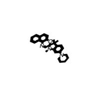 CN1c2cc(N3CCCCC3)ccc2C(C)(C)C12C=Nc1c(ccc3ccccc13)O2